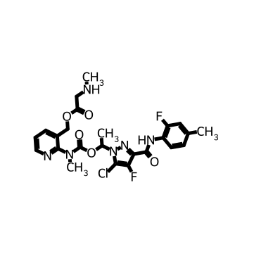 CNCC(=O)OCc1cccnc1N(C)C(=O)OC(C)n1nc(C(=O)Nc2ccc(C)cc2F)c(F)c1Cl